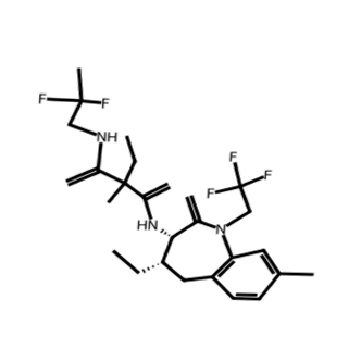 C=C1[C@@H](NC(=C)C(C)(CC)C(=C)NCC(C)(F)F)[C@@H](CC)Cc2ccc(C)cc2N1CC(F)(F)F